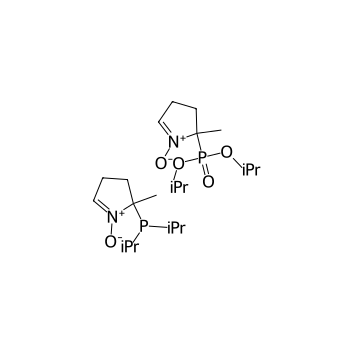 CC(C)OP(=O)(OC(C)C)C1(C)CCC=[N+]1[O-].CC(C)P(C(C)C)C1(C)CCC=[N+]1[O-]